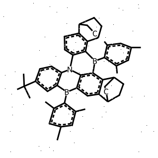 Cc1cc(C)c(B2c3cc(C(C)(C)C)ccc3N3c4ccc5c(c4B(c4c(C)cc(C)cc4C)c4c6c(cc2c43)C2CCC6CC2)C2CCC5CC2)c(C)c1